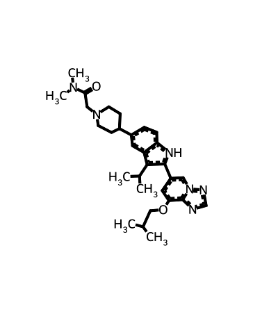 CC(C)COc1cc(-c2[nH]c3ccc(C4CCN(CC(=O)N(C)C)CC4)cc3c2C(C)C)cn2ncnc12